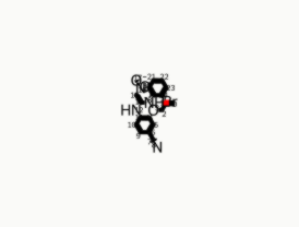 C=CCOc1cc(C#N)ccc1N/C(=C/[N+](=O)[O-])Nc1ccccc1Br